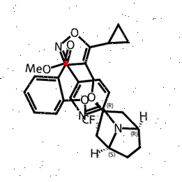 COC(=O)c1ccc(N2[C@@H]3CC[C@H]2C[C@@H](OCc2c(-c4ccccc4OC(F)(F)F)noc2C2CC2)C3)nc1